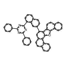 c1ccc(-c2nc(-c3ccccc3)nc(-c3cccc4ccc(-c5cc6ccc7ccccc7c6c6oc7c8ccccc8ccc7c56)cc34)n2)cc1